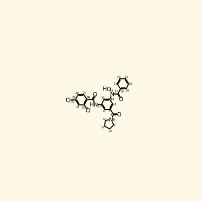 O=C(Nc1cc(C(=O)N2CCCC2)cc(N(O)C(=O)c2ccccc2)c1)c1ccc(Cl)cc1Cl